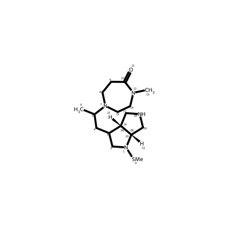 CSN1CC(CC(C)N2CCC(=O)N(C)CC2)[C@@H]2CNC[C@@H]21